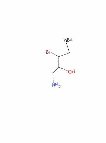 CCCCCC(Br)C(O)CN